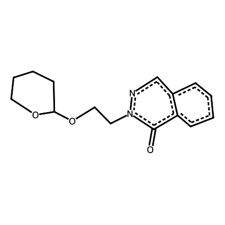 O=c1c2ccccc2cnn1CCOC1CCCCO1